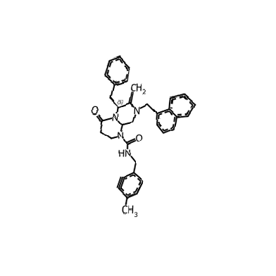 C=C1[C@H](Cc2ccccc2)N2C(=O)CCN(C(=O)NCc3c#cc(C)cc3)C2CN1Cc1cccc2ccccc12